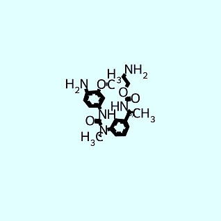 COc1cc(NC(=O)N(C)c2cccc([C@H](C)NC(=O)OCCN)c2)ccc1N